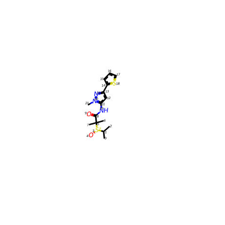 CC(C)[S+]([O-])C(C)(C)C(=O)Nc1cc(-c2cccs2)nn1C